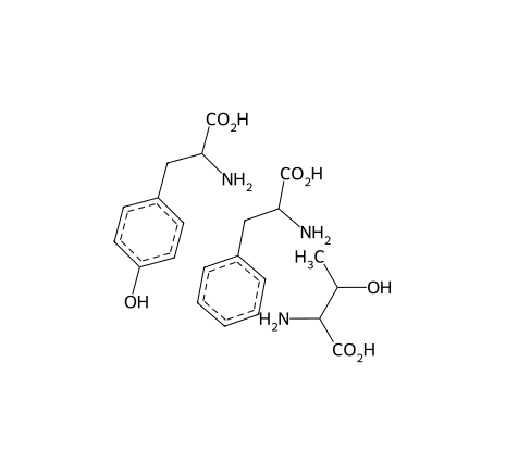 CC(O)C(N)C(=O)O.NC(Cc1ccc(O)cc1)C(=O)O.NC(Cc1ccccc1)C(=O)O